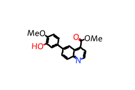 COC(=O)c1ccnc2ccc(-c3ccc(OC)c(O)c3)cc12